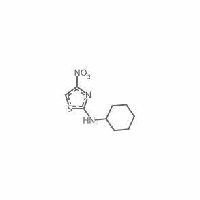 O=[N+]([O-])c1csc(NC2CCCCC2)n1